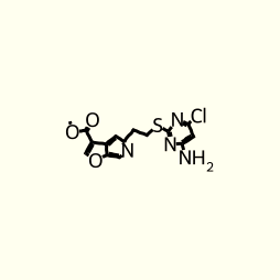 COC(=O)c1coc2cnc(CCSc3nc(N)cc(Cl)n3)cc12